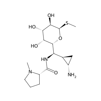 CS[C@H]1O[C@H]([C@H](NC(=O)[C@@H]2CCCN2C)[C@H]2C[C@@H]2N)[C@H](O)[C@H](O)[C@H]1O